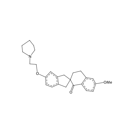 COc1ccc2c(c1)CCC1(Cc3ccc(OCCN4CCCCC4)cc3C1)C2=O